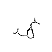 CC(C)NCC1CN(CC(F)F)CCO1